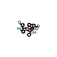 C#CC(O)(c1cccc(C(=O)OC)c1)c1c(C)cccc1CC#CC(O)(c1cccc(COC)c1)c1c(C)cccc1CC#CC(O)(c1ccccc1)C1CCCCC1